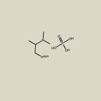 CCCCCCCC(C)N(C)C.O=P(O)(O)O